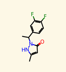 Cc1cc(=O)n(C(C)c2ccc(F)c(F)c2)[nH]1